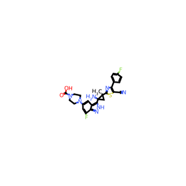 CC1(c2nc(-c3ccc(F)cc3)c(C#N)s2)CC1(N)c1[nH]nc2c(F)cc(N3CCN(C(=O)O)CC3)cc12